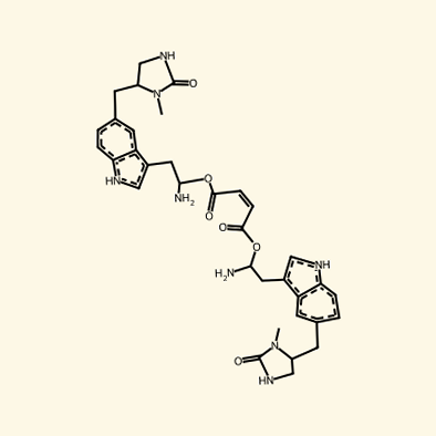 CN1C(=O)NCC1Cc1ccc2[nH]cc(CC(N)OC(=O)/C=C\C(=O)OC(N)Cc3c[nH]c4ccc(CC5CNC(=O)N5C)cc34)c2c1